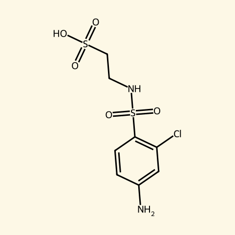 Nc1ccc(S(=O)(=O)NCCS(=O)(=O)O)c(Cl)c1